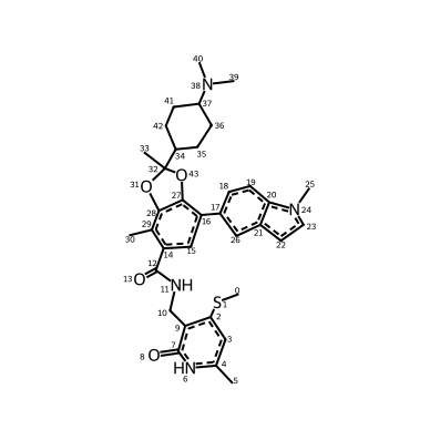 CSc1cc(C)[nH]c(=O)c1CNC(=O)c1cc(-c2ccc3c(ccn3C)c2)c2c(c1C)OC(C)(C1CCC(N(C)C)CC1)O2